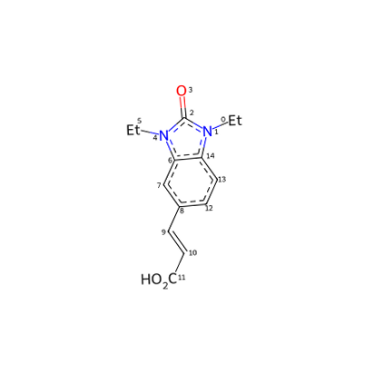 CCn1c(=O)n(CC)c2cc(/C=C/C(=O)O)ccc21